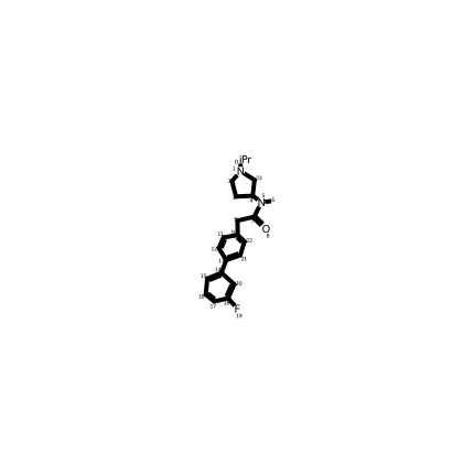 CC(C)N1CCC(N(C)C(=O)Cc2ccc(-c3cccc(F)c3)cc2)C1